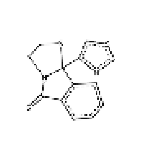 S=C1c2ccccc2C2(c3cscn3)SCCN12